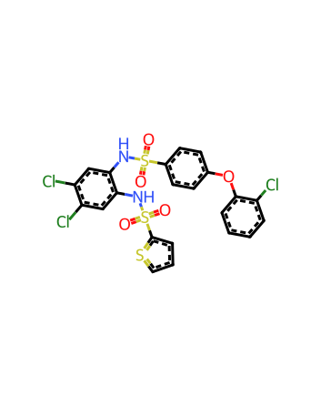 O=S(=O)(Nc1cc(Cl)c(Cl)cc1NS(=O)(=O)c1cccs1)c1ccc(Oc2ccccc2Cl)cc1